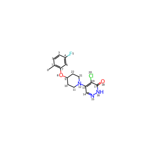 Cc1ccc(F)cc1OC1CCN(c2cn[nH]c(=O)c2Cl)CC1